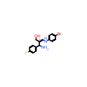 NC(/C(=C\Nc1ccc(Br)cc1)CO)c1ccc(F)cc1